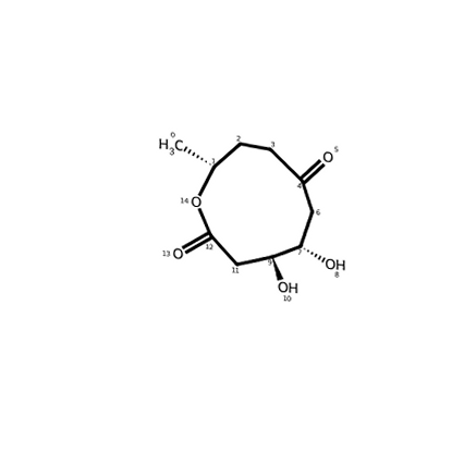 C[C@@H]1CCC(=O)C[C@H](O)[C@@H](O)CC(=O)O1